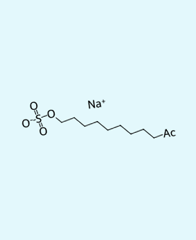 CC(=O)CCCCCCCCCOS(=O)(=O)[O-].[Na+]